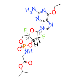 CCOc1nc(N)nc2c1ncn2[C@@H]1O[C@]2(F)CO[P@](=O)(NCC(=O)OC(C)C)O[C@H]2[C@@]1(C)F